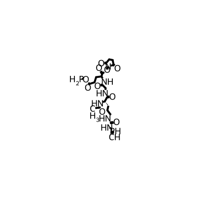 C#[PH]NC(=O)NCCC[C@H](NC(C)=O)C(=O)NCC(=O)NC(CCC(=O)OP)C(=O)ON1C(=O)CCC1=O